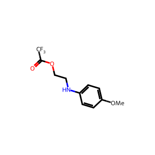 COc1ccc(NCCOC(=O)C(F)(F)F)cc1